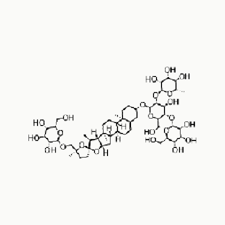 C[C@@H]1O[C@@H](O[C@H]2[C@H](O[C@H]3CC[C@@]4(C)C(=CC[C@H]5[C@@H]6C[C@@H]7O[C@]8(CC[C@@](C)(CO[C@@H]9O[C@H](CO)[C@@H](O)[C@H](O)[C@H]9O)O8)[C@@H](C)[C@@H]7[C@@]6(C)CC[C@@H]54)C3)O[C@H](CO)[C@@H](O[C@@H]3O[C@H](CO)[C@@H](O)[C@H](O)[C@H]3O)[C@@H]2O)[C@H](O)[C@H](O)[C@H]1O